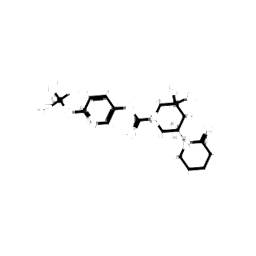 O=C(Oc1ccc(OC(F)(F)F)nc1)N1C[C@H](N2CCCCC2=O)CC(F)(F)C1